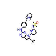 CN1C2CCC1CC(c1ccc(Nc3ncc4cc(C5CC5)n(-c5cccc(N=S(C)(C)=O)n5)c4n3)cc1)C2